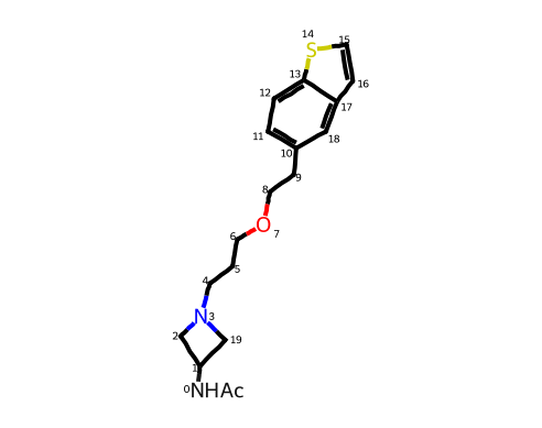 CC(=O)NC1CN(CCCOCCc2ccc3sccc3c2)C1